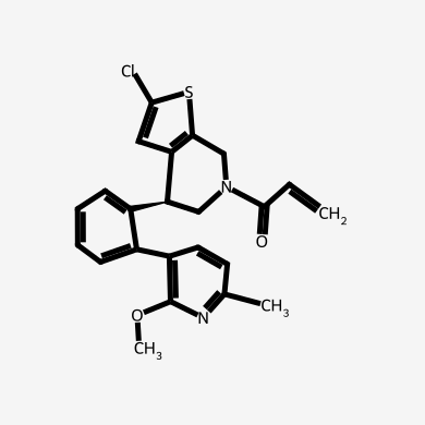 C=CC(=O)N1Cc2sc(Cl)cc2[C@H](c2ccccc2-c2ccc(C)nc2OC)C1